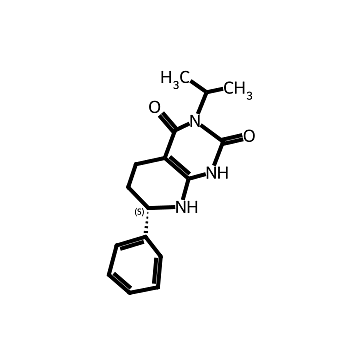 CC(C)n1c(=O)[nH]c2c(c1=O)CC[C@@H](c1ccccc1)N2